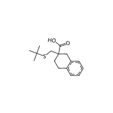 CC(C)(C)SCC1(C(=O)O)CCc2ccccc2C1